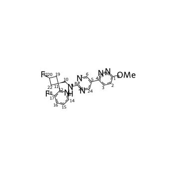 COc1ccc(-c2cnc(NC[C@]3(c4ncccc4F)C[C@H](F)C3)nc2)nn1